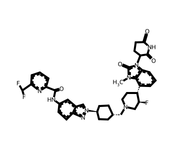 Cn1c(=O)n(C2CCC(=O)NC2=O)c2cccc([C@H]3CCN(C[C@H]4CC[C@H](n5cc6cc(NC(=O)c7cccc(C(F)F)n7)ccc6n5)CC4)C[C@@H]3F)c21